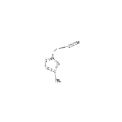 C#CCn1c[c]c(C#N)c1